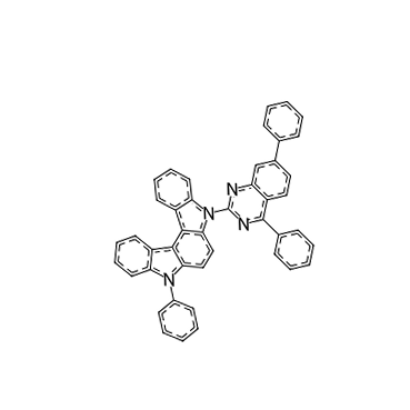 c1ccc(-c2ccc3c(-c4ccccc4)nc(-n4c5ccccc5c5c6c7ccccc7n(-c7ccccc7)c6ccc54)nc3c2)cc1